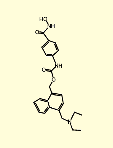 CCN(CC)Cc1ccc(COC(=O)Nc2ccc(C(=O)NO)cc2)c2ccccc12